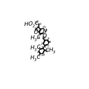 Cc1cc(C)c(-c2cccc(COc3ncc4c(c3C)OCC4CC(=O)O)c2)c(C)c1